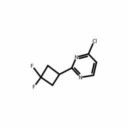 FC1(F)CC(c2nccc(Cl)n2)C1